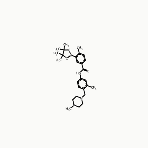 Cc1ccc(C(=O)Nc2ccc(CN3CCN(C)CC3)c(C(F)(F)F)c2)cc1B1OC(C)(C)C(C)(C)O1